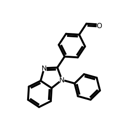 O=Cc1ccc(-c2nc3ccccc3n2-c2ccccc2)cc1